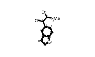 CCC(NC)C(Cl)c1ccc2sccc2c1